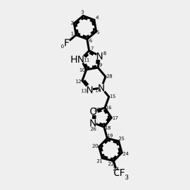 Fc1ccccc1-c1nc2c([nH]1)C=NN(Cc1cc(-c3ccc(C(F)(F)F)cc3)no1)C2